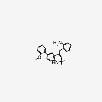 COc1ccccc1-c1ccc2c(c1)C(Cc1ccccc1N)=CC(C)(C)N2